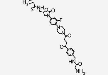 CCC(=S)NC[C@@H]1CN(c2ccc(N3CCN(C(=O)CCC(=O)c4ccc(CNC(=O)CN)cc4)CC3)c(F)c2)C(=O)O1